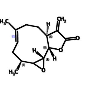 C=C1C(=O)O[C@@H]2[C@@H]3OC3[C@@H](C)C/C=C(\C)CC[C@@H]12